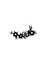 C[C@@H](c1ccc(-c2ccc(F)cc2F)cc1)N1CCC(CCC#N)(c2ccc(F)cc2)OC1=O